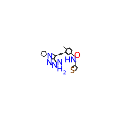 Cc1ccc(C(=O)NCc2ccsc2)cc1C#Cc1cn(C2CCCC2)c2ncnc(N)c12